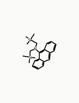 C[Si](C)(C)CN(C[Si](C)(C)C)c1c2ccccc2cc2ccccc12